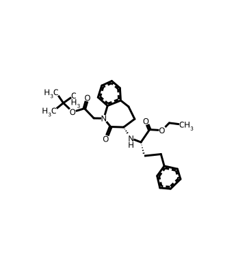 CCOC(=O)[C@H](CCc1ccccc1)N[C@H]1CCc2ccccc2N(CC(=O)OC(C)(C)C)C1=O